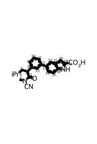 CC(C)CC(C(=O)N(C)C#N)c1cccc(-c2ccc3[nH]c(C(=O)O)cc3c2)c1